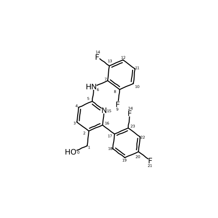 OCc1ccc(Nc2c(F)cccc2F)nc1-c1ccc(F)cc1F